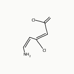 C=C(Cl)/C=C(Cl)\C=C/N